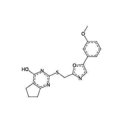 COc1cccc(-c2cnc(CSc3nc(O)c4c(n3)CCC4)o2)c1